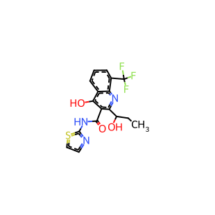 CCC(O)c1nc2c(C(F)(F)F)cccc2c(O)c1C(=O)Nc1nccs1